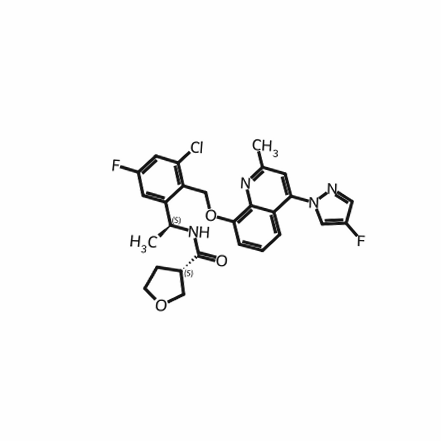 Cc1cc(-n2cc(F)cn2)c2cccc(OCc3c(Cl)cc(F)cc3[C@H](C)NC(=O)[C@H]3CCOC3)c2n1